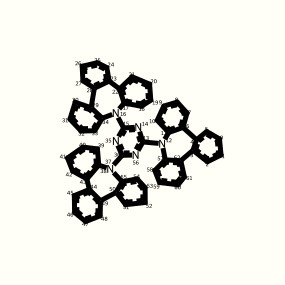 c1ccc2c(c1)-c1ccccc1N(c1nc(N3c4ccccc4-c4ccccc4-c4ccccc43)nc(N3c4ccccc4-c4ccccc4-c4ccccc43)n1)c1ccccc1-2